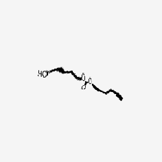 C#CCCC#COC(=O)OCCCCO